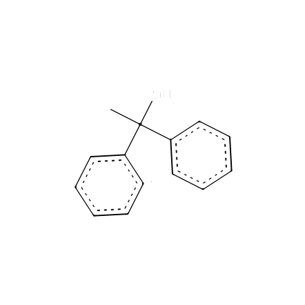 CC([SiH2])(c1ccccc1)c1ccccc1